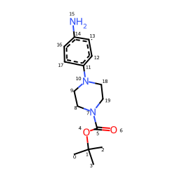 CC(C)(C)OC(=O)N1CCN(c2c[c]c(N)cc2)CC1